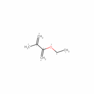 C=C(C)C(=C)OCC